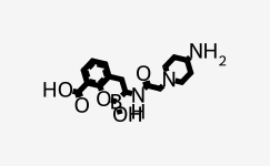 NC1CCN(CC(=O)NC2Cc3cccc(C(=O)O)c3OB2O)CC1